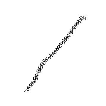 CCOOOOOOOOOOOOOOOOOOOOOOOOOOOOOOOOOOOOOOOOOOOOOOOO